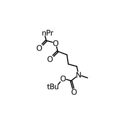 CCCC(=O)OC(=O)CCCN(C)C(=O)OC(C)(C)C